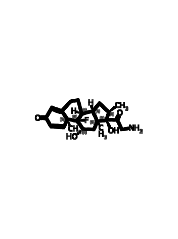 C[C@@H]1C[C@H]2[C@@H]3CCC4=CC(=O)C=C[C@]4(C)[C@@]3(F)[C@@H](O)C[C@]2(C)[C@@]1(O)C(=O)CN